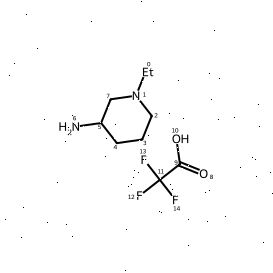 CCN1CCCC(N)C1.O=C(O)C(F)(F)F